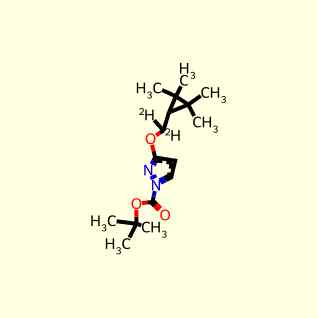 [2H]C([2H])(Oc1ccn(C(=O)OC(C)(C)C)n1)C1C(C)(C)C1(C)C